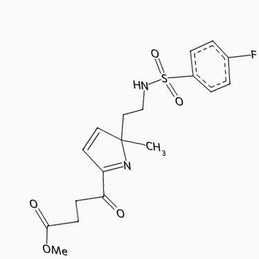 COC(=O)CCC(=O)C1=NC(C)(CCNS(=O)(=O)c2ccc(F)cc2)C=C1